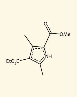 CCOC(=O)c1c(C)[nH]c(C(=O)OC)c1C